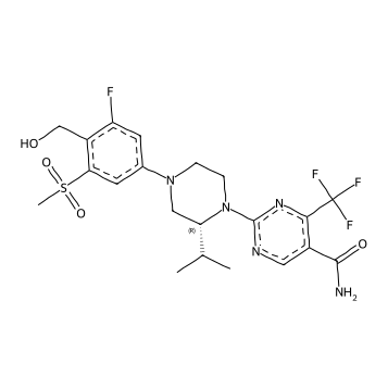 CC(C)[C@@H]1CN(c2cc(F)c(CO)c(S(C)(=O)=O)c2)CCN1c1ncc(C(N)=O)c(C(F)(F)F)n1